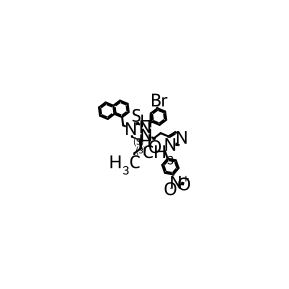 CC[C@H](C)[C@@H](CN(Cc1cccc2ccccc12)C(=S)Nc1cccc(Br)c1)NC(=O)Cc1cncn1Cc1ccc([N+](=O)[O-])cc1